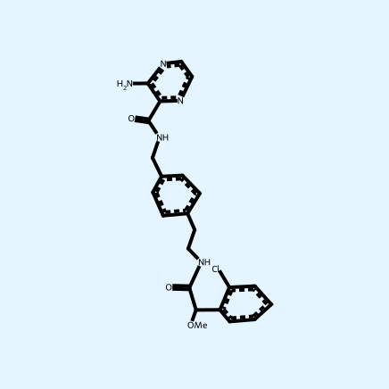 COC(C(=O)NCCc1ccc(CNC(=O)c2nccnc2N)cc1)c1ccccc1Cl